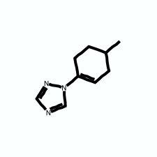 CC1CC=C(n2cncn2)CC1